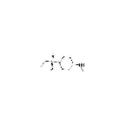 CCS(=O)(=O)N1CCC(NC)CC1